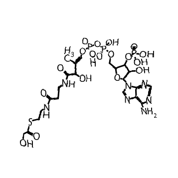 C/C(=C\OP(=O)(O)OP(=O)(O)OCC1OC(n2cnc3c(N)ncnc32)C(O)C1OP(=O)(O)O)C(O)C(=O)NCCC(=O)NCCSC(=O)CO